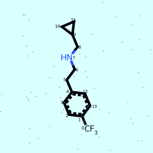 FC(F)(F)c1ccc(CCNCC2CC2)cc1